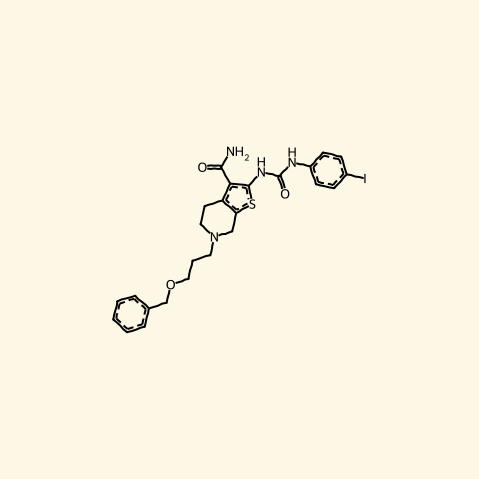 NC(=O)c1c(NC(=O)Nc2ccc(I)cc2)sc2c1CCN(CCCOCc1ccccc1)C2